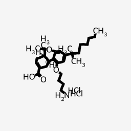 CCCCCCC(C)(C)c1cc(OCCCCN)c2c(c1)OC(C)(C)[C@@H]1CC=C(C(=O)O)C[C@@H]21.Cl.Cl